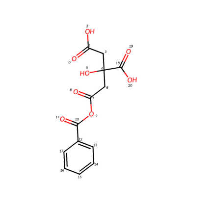 O=C(O)CC(O)(CC(=O)OC(=O)c1ccccc1)C(=O)O